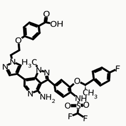 C[C@H](Oc1cc(-c2nn(C)c3c(-c4cnn(CCOc5ccc(C(=O)O)cc5)c4)cnc(N)c23)ccc1NS(=O)(=O)C(F)F)c1ccc(F)cc1